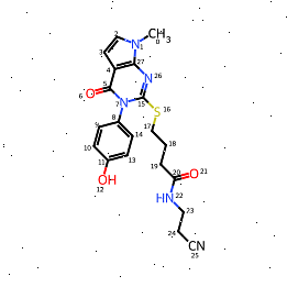 Cn1ccc2c(=O)n(-c3ccc(O)cc3)c(SCCCC(=O)NCCC#N)nc21